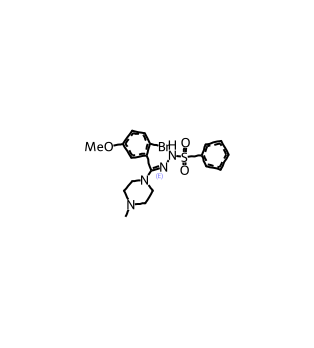 COc1ccc(Br)c(/C(=N\NS(=O)(=O)c2ccccc2)N2CCN(C)CC2)c1